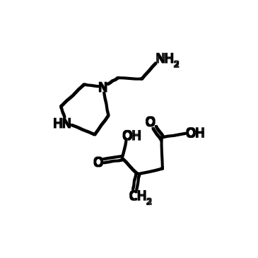 C=C(CC(=O)O)C(=O)O.NCCN1CCNCC1